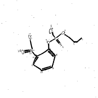 CCOP(=S)(Cl)Oc1ccccc1[N+](=O)[O-]